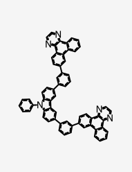 c1ccc(-n2c3ccc(-c4cccc(-c5ccc6c(c5)c5ccccc5c5nccnc65)c4)cc3c3cc(-c4cccc(-c5ccc6c(c5)c5ccccc5c5nccnc65)c4)ccc32)cc1